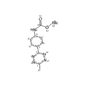 Cc1nnc(-c2ccc(NC(=O)OC(C)(C)C)cc2)nn1